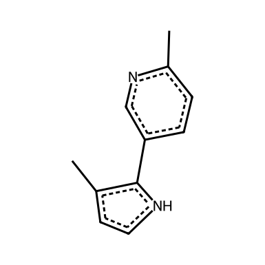 Cc1ccc(-c2[nH]ccc2C)cn1